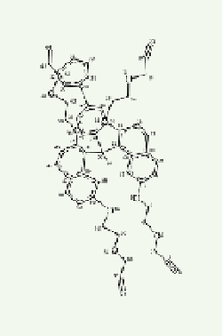 C#CCOCCOc1ccc2ccc(OCCOCC#C)c(C(C)(c3ccc(-c4ccccc4)cc3)c3c(OCCOCC=C)ccc4ccc(OCCOCC#C)cc34)c2c1